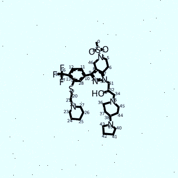 CS(=O)(=O)N1CCc2c(c(-c3ccc(C(F)(F)F)c(SCCN4CCCCC4)c3)nn2CC(O)CN2CCC(N3CCCC3)CC2)C1